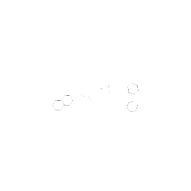 O=C(CC[C@@H](NC(=O)OCC1c2ccccc2-c2ccccc21)C(=O)O)NCc1ccc2ccccc2c1